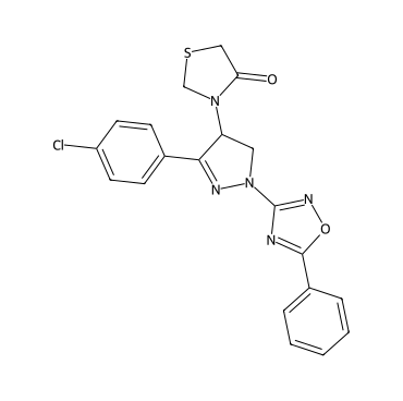 O=C1CSCN1C1CN(c2noc(-c3ccccc3)n2)N=C1c1ccc(Cl)cc1